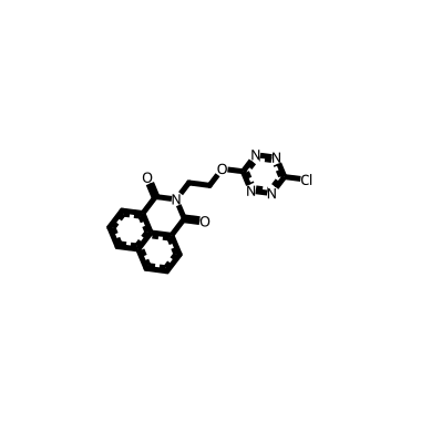 O=C1c2cccc3cccc(c23)C(=O)N1CCOc1nnc(Cl)nn1